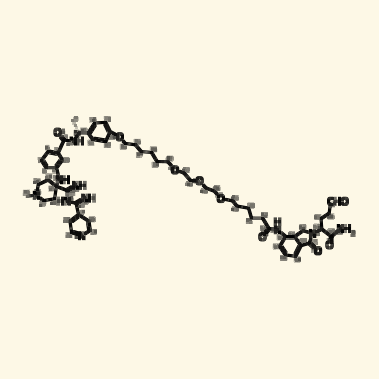 C[C@@H](NC(=O)c1cccc(NC2(C(=N)NC(=N)c3ccncc3)CCN(C)CC2)c1)c1ccc(OCCCCCCOCCOCCOCCCCCC(=O)Nc2cccc3c2CN(C(CCC=O)C(N)=O)C3=O)cc1